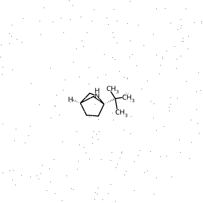 CC(C)(C)[C@@]12CC[C@@H](CN1)C2